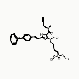 C#CCN(C)C(=O)c1[nH]c(CCc2ccc(-c3ccccc3)cc2)nc1N(C=O)CCCCP(=O)(OCC)OCC